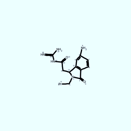 CC(C)CN1C(=O)c2ccc(N)cc2C1CC(=O)NC(=N)N